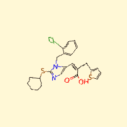 O=C(O)C(=Cc1cnc(SC2CCCCC2)n1Cc1ccccc1Cl)Cc1cccs1